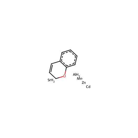 C1=Cc2ccccc2OC1.[AlH3].[Cd].[Mn].[SrH2].[Zn]